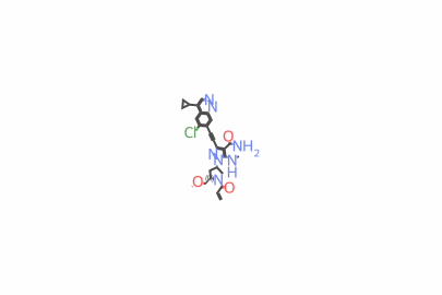 C=CC(=O)N1CC(n2nc(C#Cc3cc4nncc(C5CC5)c4cc3Cl)c(C(N)=O)c2NC)C[C@@H]1COC